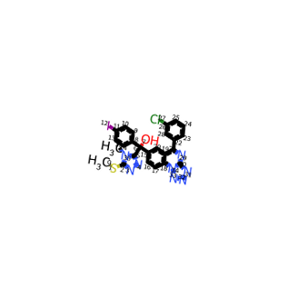 CSc1nnc(C(O)(c2ccc(I)cc2)c2ccc3c(c2)c(-c2cccc(Cl)c2)nc2nnnn23)n1C